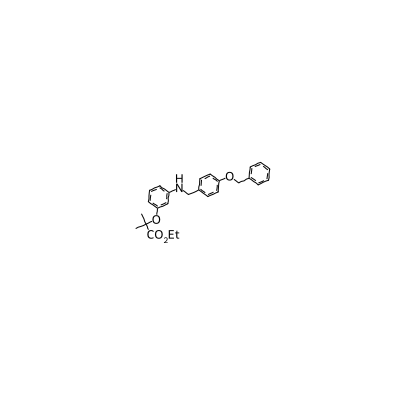 CCOC(=O)C(C)(C)Oc1cccc(NCc2ccc(OCc3ccccc3)cc2)c1